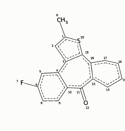 Cc1cc2c3cc(F)ccc3c(=O)c3ccccc3c2s1